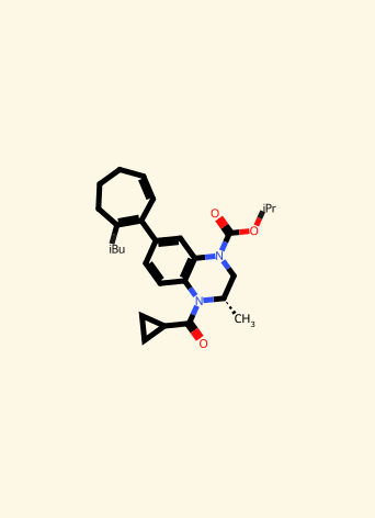 CCC(C)C1=C(c2ccc3c(c2)N(C(=O)OC(C)C)C[C@H](C)N3C(=O)C2CC2)C=CCCC1